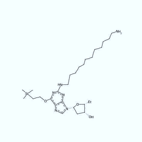 CC[C@H]1O[C@@H](n2cnc3c(OCC[Si](C)(C)C)nc(NCCCCCCCCCCCCN)nc32)C[C@H]1O